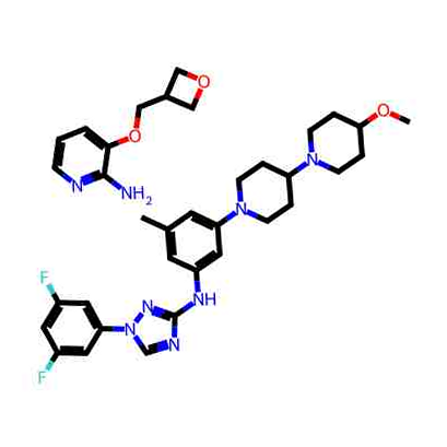 COC1CCN(C2CCN(c3cc(C)cc(Nc4ncn(-c5cc(F)cc(F)c5)n4)c3)CC2)CC1.Nc1ncccc1OCC1COC1